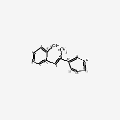 CC(=Cc1ccccc1O)c1ccccc1